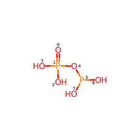 O=P(O)(O)OP(O)O